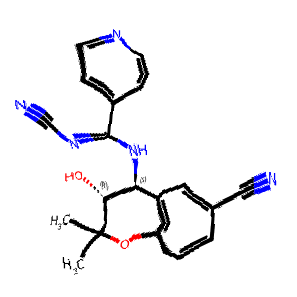 CC1(C)Oc2ccc(C#N)cc2[C@H](NC(=NC#N)c2ccncc2)[C@H]1O